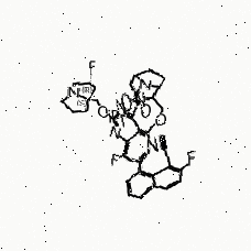 C#Cc1c(F)ccc2cccc(-c3nc4c5c(nc(OC[C@@]67CCCN6C[C@H](F)C7)nc5c3F)N3CC5CCC(C3CO4)N5C(=O)OC(C)C)c12